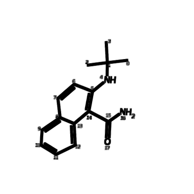 CC(C)(C)Nc1ccc2ccccc2c1C(N)=O